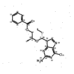 CC[C@@H](O[C@@H](C)COC(=O)c1ccccc1)n1cnc2c(Cl)nc(N)nc21